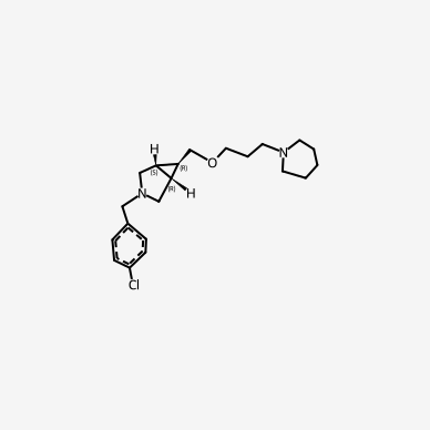 Clc1ccc(CN2C[C@@H]3[C@@H](COCCCN4CCCCC4)[C@@H]3C2)cc1